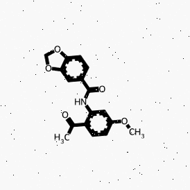 COc1ccc(C(C)=O)c(NC(=O)c2ccc3c(c2)OCO3)c1